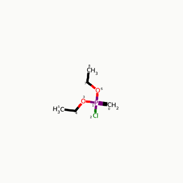 C=P(Cl)(OCC)OCC